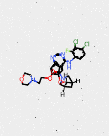 C=CC(=O)N1C[C@H]2C[C@@H](C1)[C@H]2Oc1cc2c(Nc3ccc(Cl)c(Cl)c3F)ncnc2cc1OCCN1CCOCC1